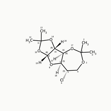 CC1(C)OC[C@H](Cl)[C@H]2O[C@@H]3OC(C)(C)O[C@@H]3[C@H]2O1